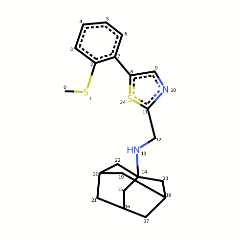 CSc1ccccc1-c1cnc(CNC23CC4CC(CC(C4)C2)C3)s1